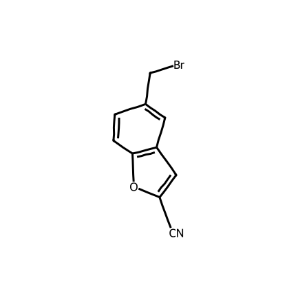 N#Cc1cc2cc(CBr)ccc2o1